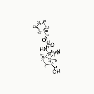 CC1(C)[C@@H](CO)CC[C@@]1(C)C(C#N)NC(=O)OCc1ccccc1